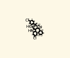 CC(C)(c1ccc(Cl)cc1)n1cnc(-c2ccccc2)c1-c1c(C(=O)O)[nH]c2cc(Cl)ccc12